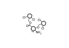 Nc1ncc(C(=O)OCc2c(Cl)cccc2Cl)cc1OCc1c(Cl)cccc1Cl